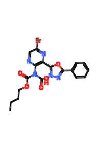 CCCCOC(=O)N(C(=O)O)c1ncc(Br)nc1-c1nnc(-c2ccccc2)o1